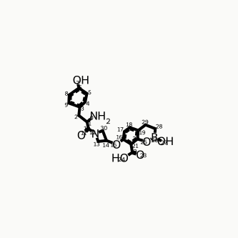 NC(Cc1ccc(O)cc1)C(=O)N1CC(Oc2ccc3c(c2C(=O)O)OB(O)CC3)C1